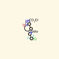 CCOC(=O)Nc1ccc2c(c1)NC(=O)CCCC[C@H](c1ccc(-c3c(F)ccc(Cl)c3F)c[n+]1OC)c1cccc-2c1